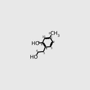 Cc1ccc(CCO)c(O)c1